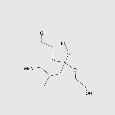 CCO[Si](CC(C)CNC)(OCCO)OCCO